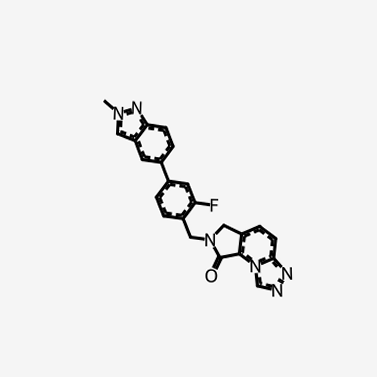 Cn1cc2cc(-c3ccc(CN4Cc5ccc6nncn6c5C4=O)c(F)c3)ccc2n1